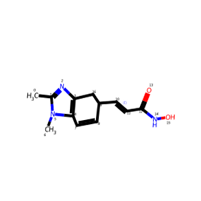 Cc1nc2c(n1C)C=CC(/C=C/C(=O)NO)C2